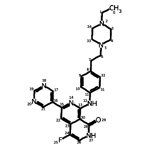 CCN1CCN(CCc2ccc(Nc3nc(-c4cncnc4)cc4c(F)c[nH]c(=O)c34)cc2)CC1